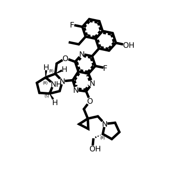 CCc1c(F)ccc2cc(O)cc(-c3nc4c5c(nc(OCC6(CN7CCC[C@@H]7CO)CC6)nc5c3F)N3C[C@@H]5CC[C@@H](N5)[C@@H]3CO4)c12